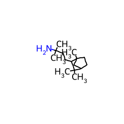 CC(C)(N)CCC1C2(C)CCC(C2)C1(C)C